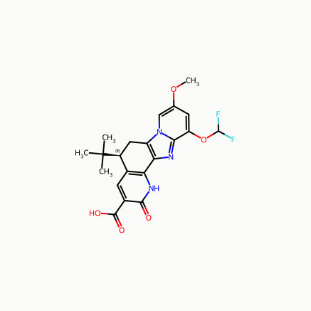 COc1cc(OC(F)F)c2nc3c(n2c1)C[C@H](C(C)(C)C)c1cc(C(=O)O)c(=O)[nH]c1-3